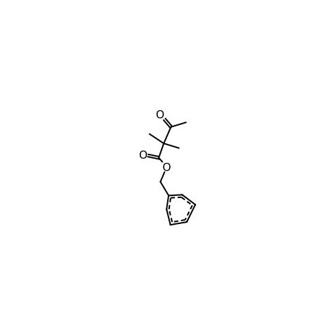 CC(=O)C(C)(C)C(=O)OCc1ccccc1